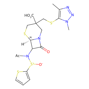 CC(=O)N(C1C(=O)N2CC(CSc3c(C)nnn3C)(C(=O)O)CS[C@H]12)[S+]([O-])c1cccs1